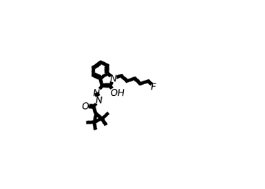 CC1(C)C(C(=O)N=Nc2c(O)n(CCCCCF)c3ccccc23)C1(C)C